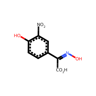 O=C(O)C(=NO)c1ccc(O)c([N+](=O)[O-])c1